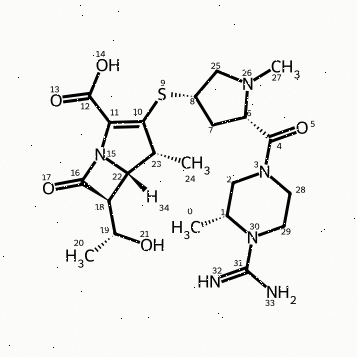 C[C@@H]1CN(C(=O)[C@@H]2C[C@H](SC3=C(C(=O)O)N4C(=O)[C@H]([C@@H](C)O)[C@H]4[C@H]3C)CN2C)CCN1C(=N)N